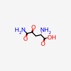 NC(=O)C(=O)C[C@H](N)C(=O)O